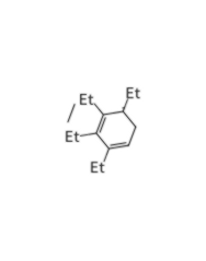 CC.CC[C]1CC=C(CC)C(CC)=C1CC